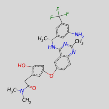 Cc1nc(N[C@H](C)c2cc(N)cc(C(F)(F)F)c2)c2cc(Oc3ccc(O)c(CC(=O)N(C)C)c3)ccc2n1